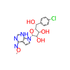 CO/N=c1/nc[nH]c2c1ccn2[C@@H]1O[C@H]([C@H](O)c2ccc(Cl)cc2)[C@@H](O)[C@H]1O